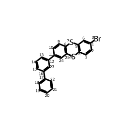 Brc1ccc2c(c1)Sc1ccc(-c3cccc(-c4ccccc4)c3)cc1S2